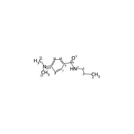 CCCNC(=O)c1ccc(N(C)C)cc1